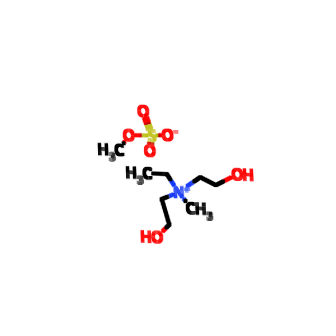 CC[N+](C)(CCO)CCO.COS(=O)(=O)[O-]